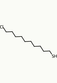 SCCCCCCCCCCCl